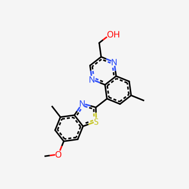 COc1cc(C)c2nc(-c3cc(C)cc4nc(CO)cnc34)sc2c1